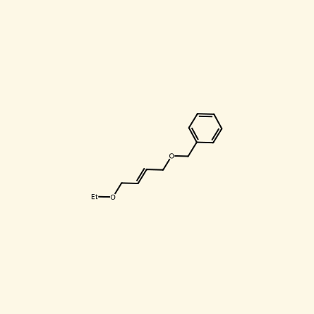 CCOCC=CCOCc1ccccc1